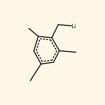 [Li][CH2]c1c(C)cc(C)cc1C